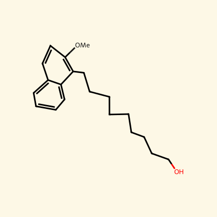 COc1ccc2ccccc2c1CCCCCCCCCO